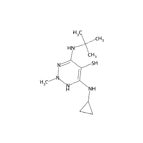 CN1N=C(NC(C)(C)C)C(S)=C(NC2CC2)N1